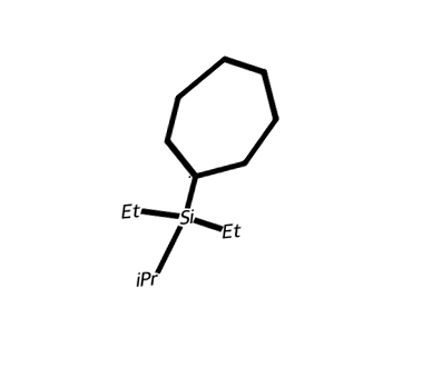 CC[Si](CC)([C]1CCCCCC1)C(C)C